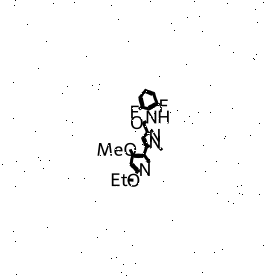 CCOc1cc(OC)c(-c2cc(C(=O)Nc3c(F)cccc3F)nn2C)cn1